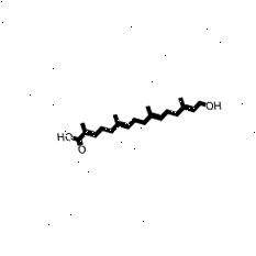 C/C(=C\CO)CC/C=C(\C)CC/C=C(\C)CC/C=C(\C)C(=O)O